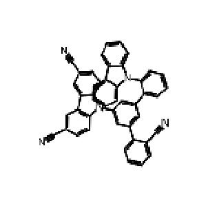 N#Cc1ccc2c(c1)c1cc(C#N)ccc1n2-c1cc(-c2ccccc2C#N)cc(-c2ccccc2-n2c3ccccc3c3ccccc32)c1